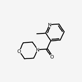 Cc1ncccc1C(=O)N1CCOCC1